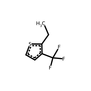 CCc1sccc1C(F)(F)F